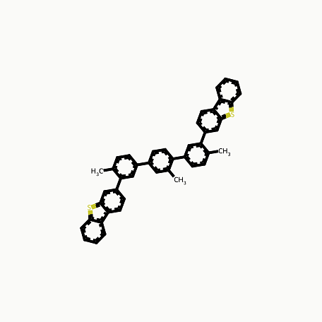 Cc1cc(-c2ccc(C)c(-c3ccc4c(c3)sc3ccccc34)c2)ccc1-c1ccc(C)c(-c2ccc3c(c2)sc2ccccc23)c1